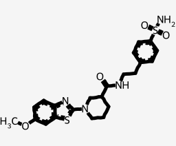 COc1ccc2nc(N3CCCC(C(=O)NCCc4ccc(S(N)(=O)=O)cc4)C3)sc2c1